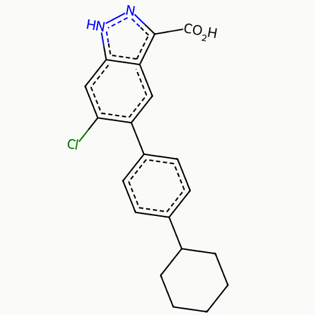 O=C(O)c1n[nH]c2cc(Cl)c(-c3ccc(C4CCCCC4)cc3)cc12